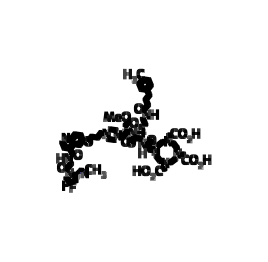 C/N=C/[C@H]1CC(F)(F)CN1C(=O)CNC(=O)c1ccnc2ccc(OCCCN3CCN(C(=O)[C@H](CC(=O)OC)NC(=O)[C@H](CSCCNC(=O)CCCc4ccc(C)cc4)NC(=O)CN4CCN(CC(=O)O)CCN(CC(=O)O)CCN(CC(=O)O)CC4)CC3)cc12